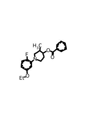 CCOc1ccc(F)c(N2CCC(OC(=O)c3ccccc3)C(C)C2)c1